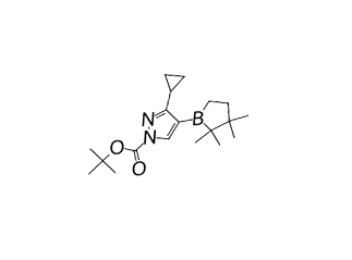 CC(C)(C)OC(=O)n1cc(B2CCC(C)(C)C2(C)C)c(C2CC2)n1